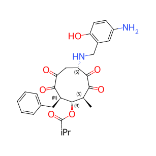 CC(C)C(=O)O[C@@H]1[C@H](C)C(=O)C(=O)[C@@H](NCc2cc(N)ccc2O)CC(=O)C(=O)[C@@H]1Cc1ccccc1